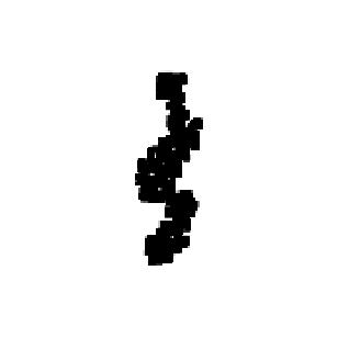 Cc1nc2ccc(Oc3ccc4ncc(-c5cnn(CC6CCC7(CC6)OCCO7)c5)nc4c3Cl)cc2n1COCC[Si](C)(C)C